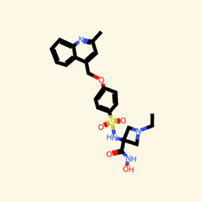 CCN1CC(NS(=O)(=O)c2ccc(OCc3cc(C)nc4ccccc34)cc2)(C(=O)NO)C1